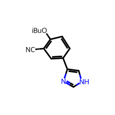 CC(C)COc1ccc(-c2c[nH]cn2)cc1C#N